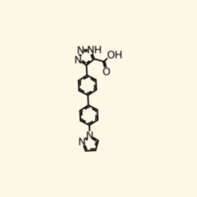 O=C(O)c1[nH]nnc1-c1ccc(-c2ccc(-n3cccn3)cc2)cc1